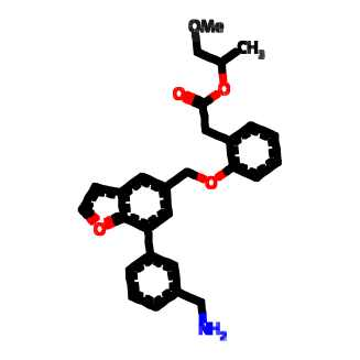 COCC(C)OC(=O)Cc1ccccc1OCc1cc(-c2cccc(CN)c2)c2occc2c1